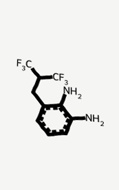 Nc1cccc(CC(C(F)(F)F)C(F)(F)F)c1N